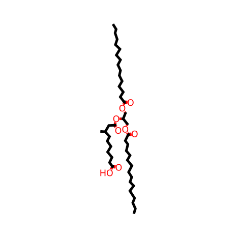 CCCCCCCCCCCCCCCC(=O)OCC(COC(=O)CCCCCCCCCCCCCCC)OC(=O)CC(C)CCCCCCC(=O)O